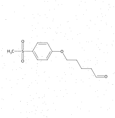 CS(=O)(=O)c1ccc(OCCCCC=O)cc1